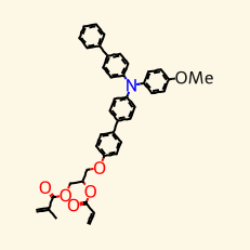 C=CC(=O)OC(COC(=O)C(=C)C)COc1ccc(-c2ccc(N(c3ccc(OC)cc3)c3ccc(-c4ccccc4)cc3)cc2)cc1